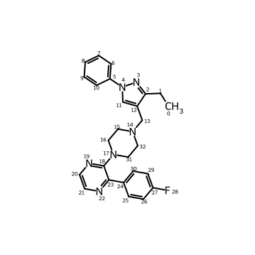 CCc1nn(-c2ccccc2)cc1CN1CCN(c2nccnc2-c2ccc(F)cc2)CC1